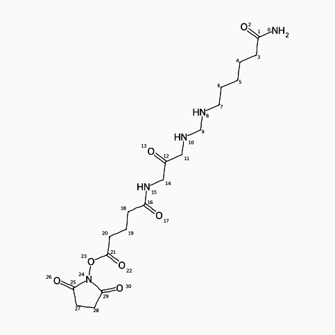 NC(=O)CCCCCNCNCC(=O)CNC(=O)CCCC(=O)ON1C(=O)CCC1=O